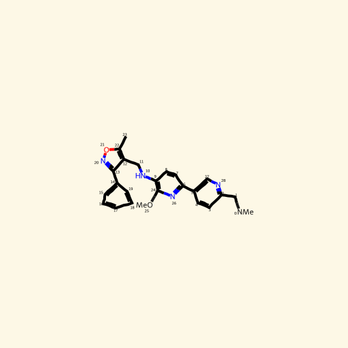 CNCc1ccc(-c2ccc(NCc3c(-c4ccccc4)noc3C)c(OC)n2)cn1